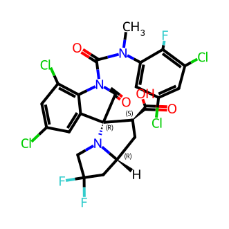 CN(C(=O)N1C(=O)[C@]2(c3cc(Cl)cc(Cl)c31)[C@@H](C(=O)O)C[C@@H]1CC(F)(F)CN12)c1cc(Cl)cc(Cl)c1F